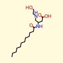 CCCCCCCCCCCC(=O)NC(CNCCO)CC(=O)O